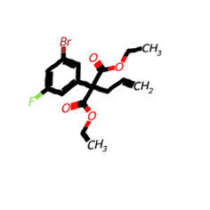 C=CCC(C(=O)OCC)(C(=O)OCC)c1cc(F)cc(Br)c1